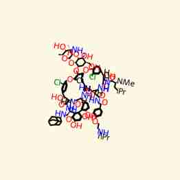 CCCNCCOc1ccc(C(=O)NC(=O)C[C@@H]2NC(=O)[C@H](NC(=O)[C@@H](CC(C)C)NC)[C@H](O)c3ccc(c(Cl)c3)Oc3cc4cc(c3O[C@@H]3C[C@H](CO)[C@@H](O)[C@H](O)[C@H]3O[C@H]3C[C@](C)(N)[C@H](O)[C@H](C)O3)Oc3ccc(cc3Cl)[C@@H](O)[C@@H]3NC(=O)[C@H](NC(=O)[C@@H]4NC2=O)c2ccc(O)c(c2)-c2c(O)cc(O)cc2[C@@H](C(=O)NC2C4CC5CC(C4)CC2C5)NC3=O)cc1